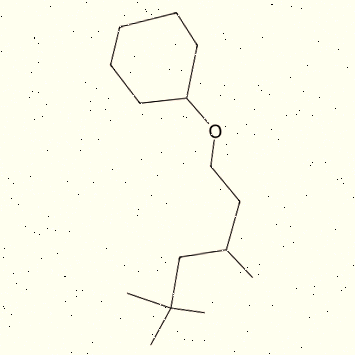 CC(CCOC1CCCCC1)CC(C)(C)C